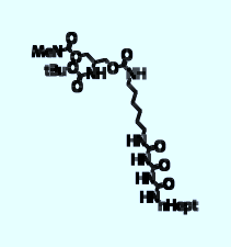 CCCCCCCNC(=O)NC(=O)NC(=O)NCCCCCCNC(=O)OCC(COC(=O)NC)NC(=O)OC(C)(C)C